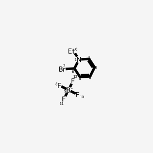 CCN1C=CC=CC1Br.F[B-](F)(F)F